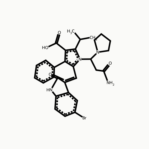 CC(C)c1c(C(=O)O)c(-c2ccccc2)c(C=C2C(=O)Nc3ccc(Br)cc32)n1C(CC(N)=O)N1CCCC1